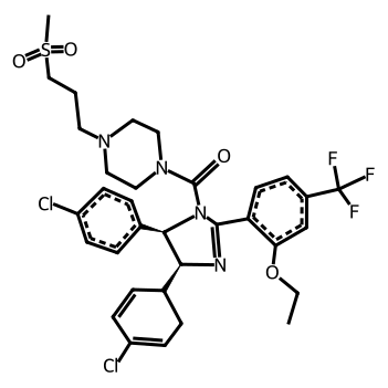 CCOc1cc(C(F)(F)F)ccc1C1=N[C@@H](C2C=CC(Cl)=CC2)[C@@H](c2ccc(Cl)cc2)N1C(=O)N1CCN(CCCS(C)(=O)=O)CC1